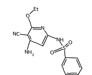 CCOc1nc(NS(=O)(=O)c2ccccc2)cc(N)c1C#N